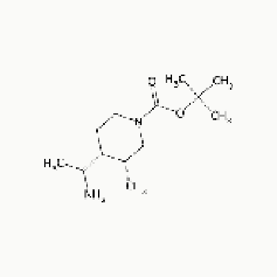 CC(N)[C@@H]1CCN(C(=O)OC(C)(C)C)C[C@@H]1C